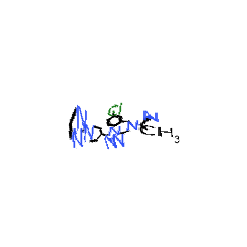 CC(C#N)N1Cc2cc(Cl)ccc2-n2c(nnc2C2CCN(c3ncccn3)CC2)C1